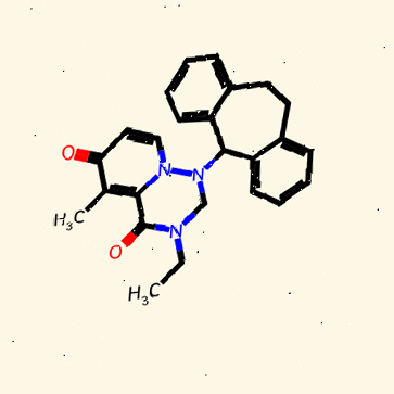 CCN1CN(C2c3ccccc3CCc3ccccc32)n2ccc(=O)c(C)c2C1=O